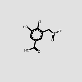 O=C(O)c1cc(O)c(Cl)c(C[N+](=O)[O-])c1